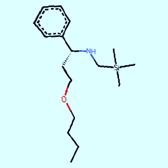 CCCCOCC[C@@H](NC[Si](C)(C)C)c1ccccc1